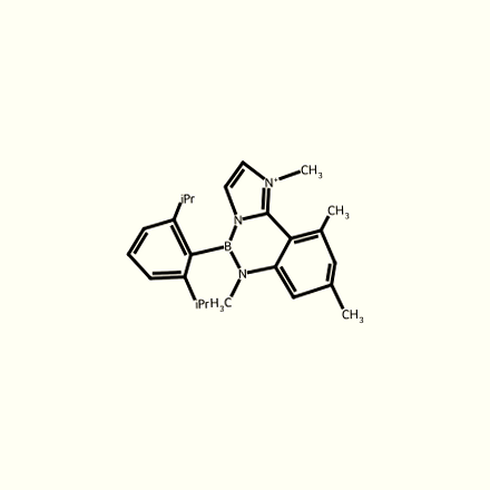 Cc1cc(C)c2c(c1)N(C)B(c1c(C(C)C)cccc1C(C)C)n1cc[n+](C)c1-2